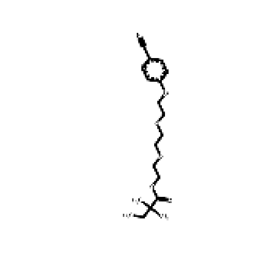 CCC(C)(C)C(=O)OCCOCCOCCOc1ccc(C#N)cc1